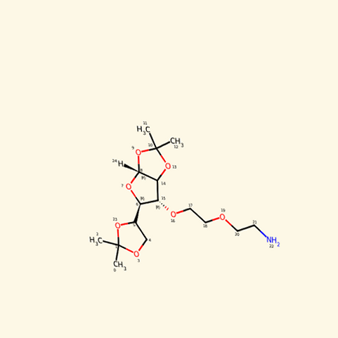 CC1(C)OCC([C@H]2O[C@@H]3OC(C)(C)OC3[C@@H]2OCCOCCN)O1